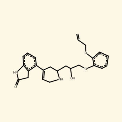 C=CCOc1ccccc1OCC(O)CC1CC(c2cccc3c2CC(=O)N3)=CCN1